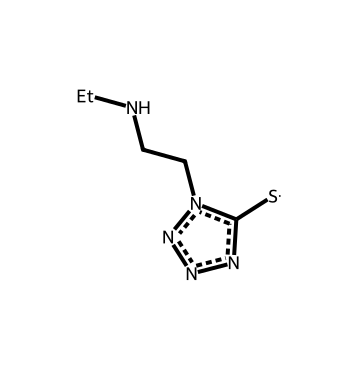 CCNCCn1nnnc1[S]